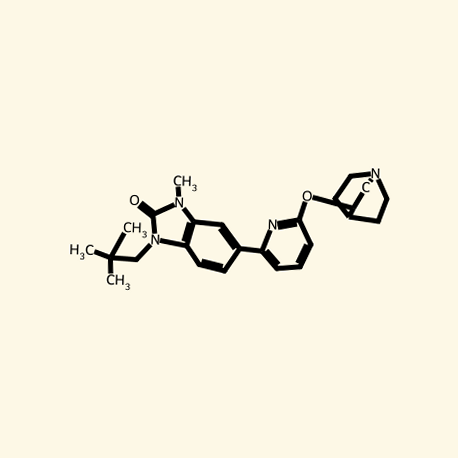 Cn1c(=O)n(CC(C)(C)C)c2ccc(-c3cccc(OC4CN5CCC4CC5)n3)cc21